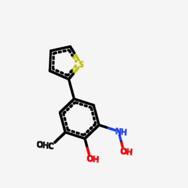 O=Cc1cc(-c2cccs2)cc(NO)c1O